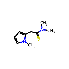 CN(C)C(=S)Cc1cccn1C